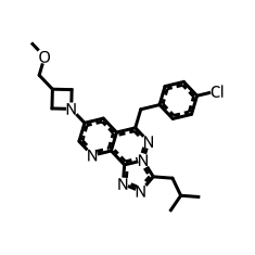 COCC1CN(c2cnc3c(c2)c(Cc2ccc(Cl)cc2)nn2c(CC(C)C)nnc32)C1